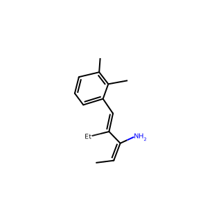 C/C=C(N)\C(=C\c1cccc(C)c1C)CC